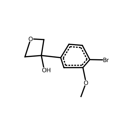 COc1cc(C2(O)COC2)ccc1Br